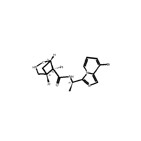 C[C@@H](NC(=O)[C@H]1[C@@H]2CNC[C@H]1C2)c1ncc2c(Br)cccn12